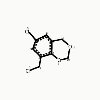 ClCc1cc(Cl)cc2c1OCOC2